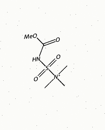 COC(=O)NS(=O)(=O)[N+](C)(C)C